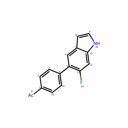 CC(=O)c1ccc(-c2cc3cc[nH]c3cc2F)cc1